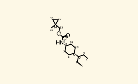 CCC(CC)[C@H]1CC[C@H](NC(=O)OCC2(C)CC2)CC1